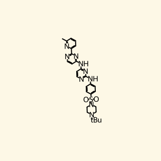 Cc1cccc(-c2nccc(Nc3ccnc(Nc4ccc(S(=O)(=O)N5CCN(C(C)(C)C)CC5)cc4)n3)n2)n1